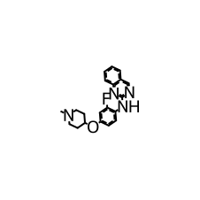 CN1CCC(Oc2ccc(Nc3ncc4ccccc4n3)c(F)c2)CC1